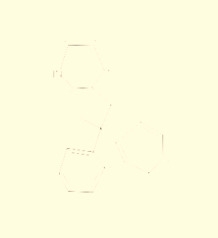 OC(CC1CCCNC1)(c1ccccc1)c1ccccc1